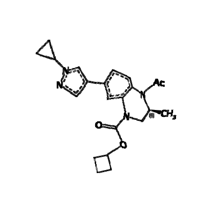 CC(=O)N1c2ccc(-c3cnn(C4CC4)c3)cc2N(C(=O)OC2CCC2)C[C@@H]1C